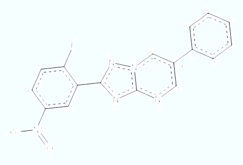 O=[N+]([O-])c1ccc(F)c(-c2nc3ncc(-c4ccccc4)cn3n2)c1